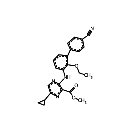 CCOc1c(Nc2ncc(C3CC3)nc2C(=O)OC)cccc1-c1ccc(C#N)cc1